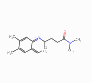 C/C=C1/C=C(C)C(C)=C/C1=N/C(CC)CCC(=O)N(C)C